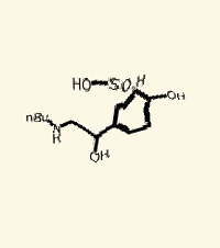 CCCCNCC(O)c1ccc(O)cc1.O=S(=O)(O)O